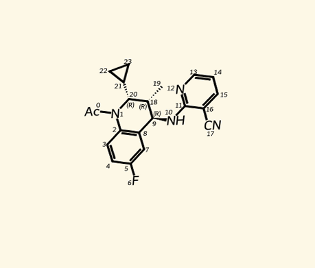 CC(=O)N1c2ccc(F)cc2[C@H](Nc2ncccc2C#N)[C@@H](C)[C@H]1C1CC1